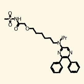 CC(C)N(CCCCCCOCC(=O)NS(C)(=O)=O)c1cnc(-c2ccccc2)c(-c2ccccc2)n1